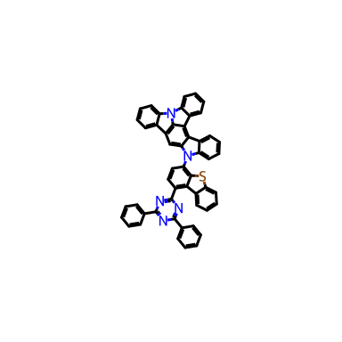 c1ccc(-c2nc(-c3ccccc3)nc(-c3ccc(-n4c5ccccc5c5c6c7ccccc7n7c8ccccc8c(cc54)c67)c4sc5ccccc5c34)n2)cc1